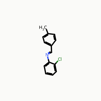 Cc1ccc(C=Nc2ccccc2Cl)cc1